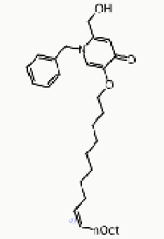 CCCCCCCC/C=C\CCCCCCCCOc1cn(Cc2ccccc2)c(CO)cc1=O